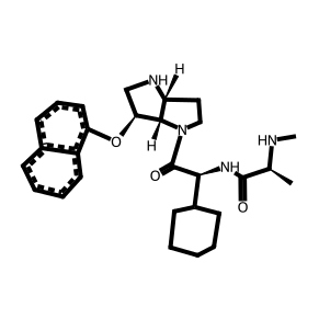 CN[C@@H](C)C(=O)N[C@H](C(=O)N1CC[C@H]2NC[C@H](Oc3cccc4ccccc34)[C@H]21)C1CCCCC1